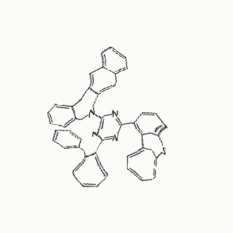 c1ccc(-c2ccccc2-c2nc(-c3cccc4sc5ccccc5c34)nc(-n3c4ccccc4c4cc5ccccc5cc43)n2)cc1